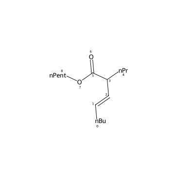 CCCCC=CC(CCC)C(=O)OCCCCC